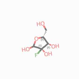 OC[C@H]1OC(O)[C@@](O)(F)[C@@H]1O